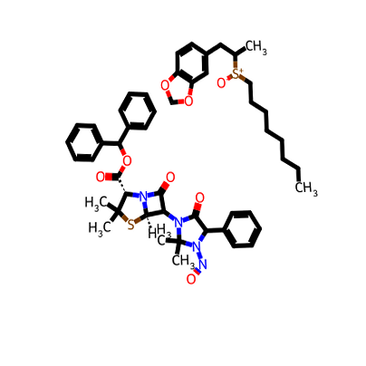 CC1(C)S[C@@H]2C(N3C(=O)C(c4ccccc4)N(N=O)C3(C)C)C(=O)N2[C@H]1C(=O)OC(c1ccccc1)c1ccccc1.CCCCCCCC[S+]([O-])C(C)Cc1ccc2c(c1)OCO2